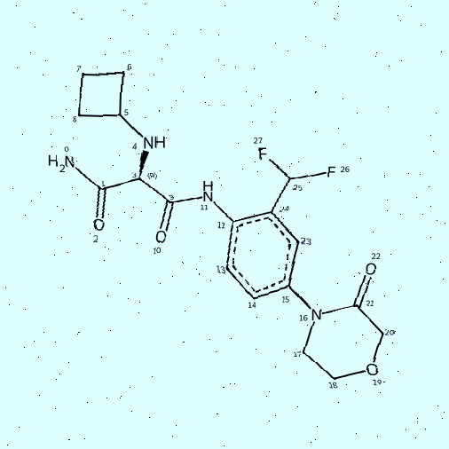 NC(=O)[C@@H](NC1CCC1)C(=O)Nc1ccc(N2CCOCC2=O)cc1C(F)F